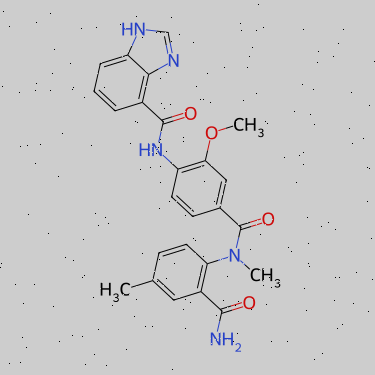 COc1cc(C(=O)N(C)c2ccc(C)cc2C(N)=O)ccc1NC(=O)c1cccc2[nH]cnc12